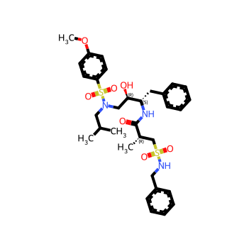 COc1ccc(S(=O)(=O)N(CC(C)C)C[C@@H](O)[C@H](Cc2ccccc2)NC(=O)[C@@H](C)CS(=O)(=O)NCc2ccccc2)cc1